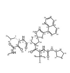 CCC[C@H](NC(=O)[C@@H]1C[C@]2(CC(c3cccc4cccnc34)=NO2)CN1C(=O)[C@@H](NC(=O)OC1CCCC1)C(C)(C)C)C(=O)C(=O)NC